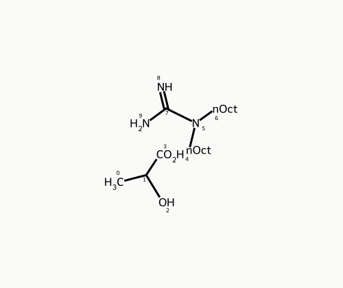 CC(O)C(=O)O.CCCCCCCCN(CCCCCCCC)C(=N)N